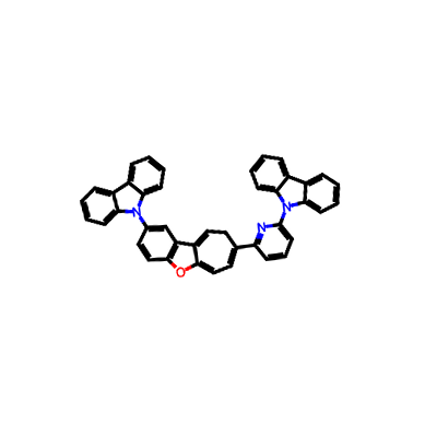 C1=C(c2cccc(-n3c4ccccc4c4ccccc43)n2)CC=c2c(oc3ccc(-n4c5ccccc5c5ccccc54)cc23)=C1